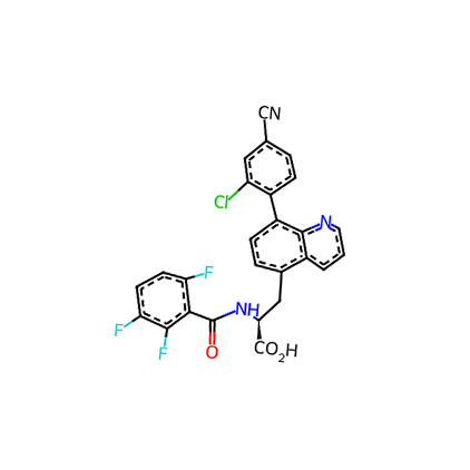 N#Cc1ccc(-c2ccc(C[C@H](NC(=O)c3c(F)ccc(F)c3F)C(=O)O)c3cccnc23)c(Cl)c1